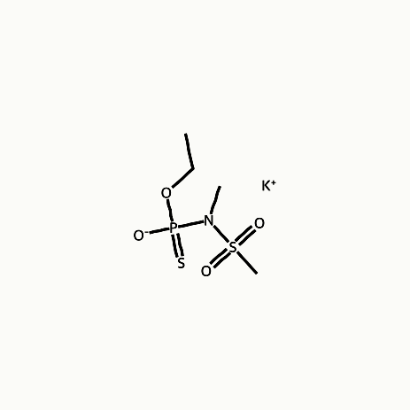 CCOP([O-])(=S)N(C)S(C)(=O)=O.[K+]